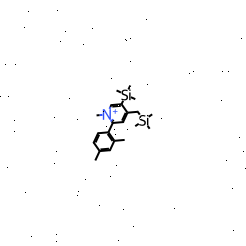 Cc1ccc(-c2cc(C[Si](C)(C)C)c([Si](C)(C)C)c[n+]2C)c(C)c1